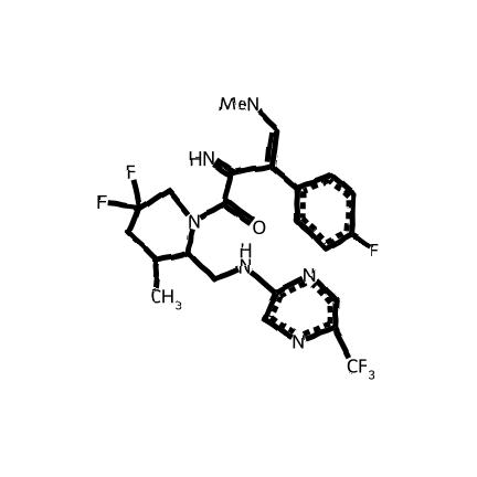 CN/C=C(\C(=N)C(=O)N1CC(F)(F)CC(C)C1CNc1cnc(C(F)(F)F)cn1)c1ccc(F)cc1